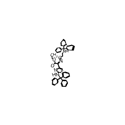 CCOC(=O)C(=NOCCNC(c1ccccc1)(c1ccccc1)c1ccccc1)c1csc(NC(c2ccccc2)(c2ccccc2)c2ccccc2)n1